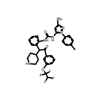 Cc1ccc(-n2nc(C(C)(C)C)cc2NC(=O)Nc2ccccc2C(C(=O)c2cccc(OC(F)(F)C(F)F)c2)C2CCNCC2)cc1